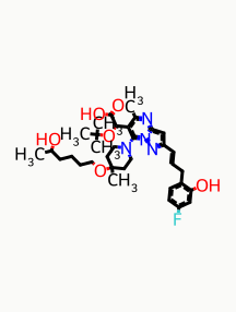 Cc1nc2cc(C=CCc3ccc(F)cc3O)nn2c(N2CCC(C)(OCCCCC(C)O)CC2)c1C(OC(C)(C)C)C(=O)O